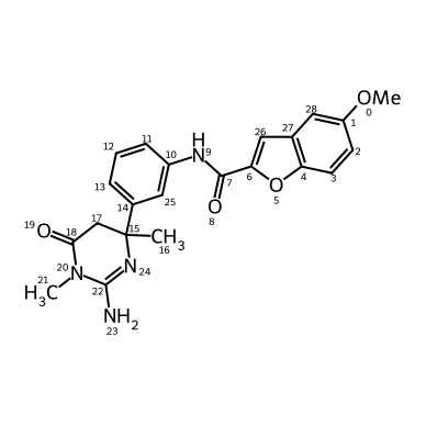 COc1ccc2oc(C(=O)Nc3cccc(C4(C)CC(=O)N(C)C(N)=N4)c3)cc2c1